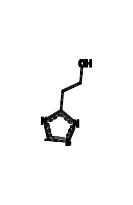 OCCc1n[c]sn1